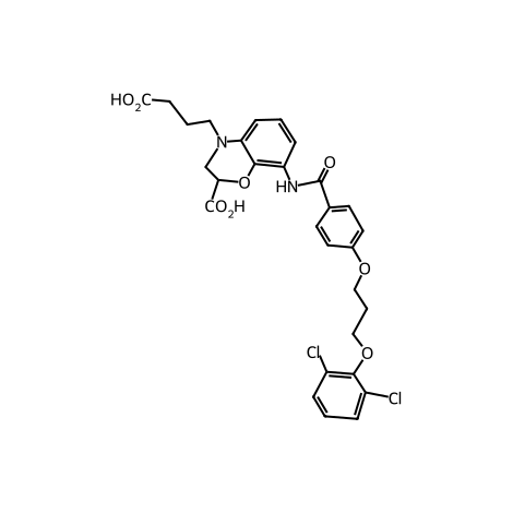 O=C(O)CCCN1CC(C(=O)O)Oc2c(NC(=O)c3ccc(OCCCOc4c(Cl)cccc4Cl)cc3)cccc21